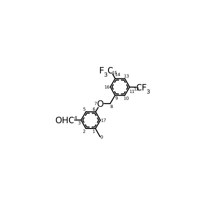 Cc1cc(C=O)cc(OCc2cc(C(F)(F)F)cc(C(F)(F)F)c2)c1